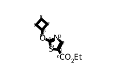 CCOC(=O)c1cnc(OC2CCC2)s1